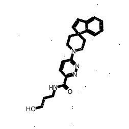 O=C(NCCCO)c1ccc(N2CCC3(C=Cc4ccccc43)CC2)nn1